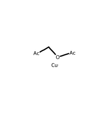 CC(=O)COC(C)=O.[Cu]